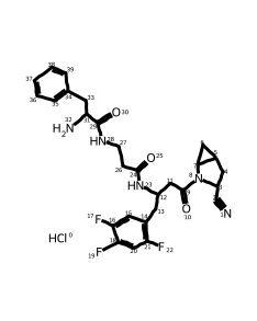 Cl.N#CC1CC2CC2N1C(=O)CC(Cc1cc(F)c(F)cc1F)NC(=O)CCNC(=O)C(N)Cc1ccccc1